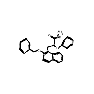 NNC(=O)C(Cc1c(OCc2ccccc2)ccc2ccccc12)Oc1ccccc1